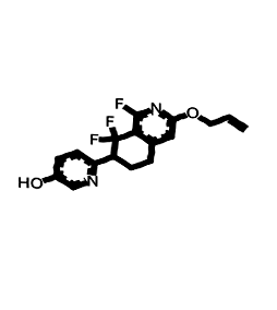 C=CCOc1cc2c(c(F)n1)C(F)(F)C(c1ccc(O)cn1)CC2